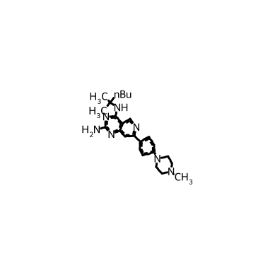 CCCCC(C)(C)Nc1nc(N)nc2cc(-c3ccc(N4CCN(C)CC4)cc3)ncc12